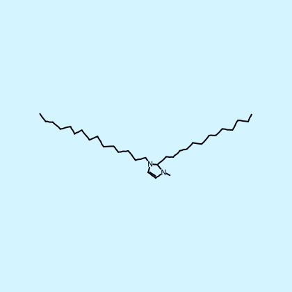 CCCCCCCCCCCCCCCN1C=CN(C)C1CCCCCCCCCCCCC